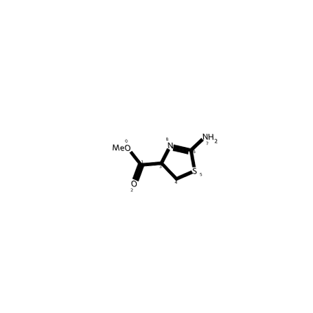 COC(=O)C1CSC(N)=N1